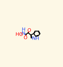 O=C(NO)C(=O)c1c[nH]c2ccccc12